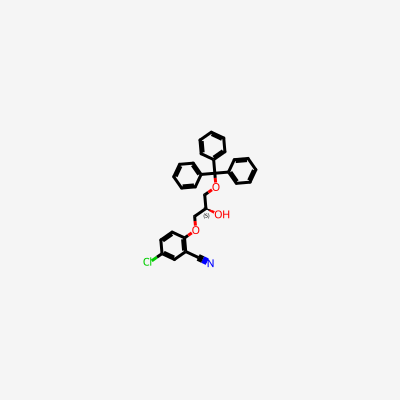 N#Cc1cc(Cl)ccc1OC[C@H](O)COC(c1ccccc1)(c1ccccc1)c1ccccc1